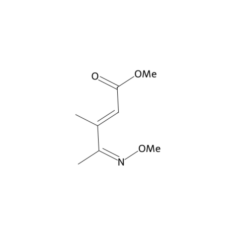 CON=C(C)C(C)=CC(=O)OC